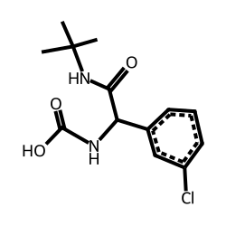 CC(C)(C)NC(=O)C(NC(=O)O)c1cccc(Cl)c1